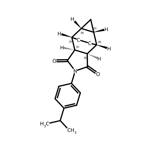 CC(C)c1ccc(N2C(=O)[C@@H]3[C@@H]4CC[C@@H]([C@@H]5C[C@@H]54)[C@@H]3C2=O)cc1